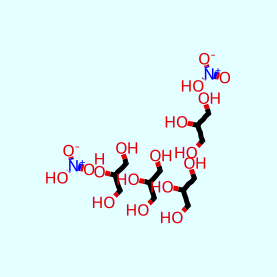 O=[N+]([O-])O.O=[N+]([O-])O.OCC(O)CO.OCC(O)CO.OCC(O)CO.OCC(O)CO